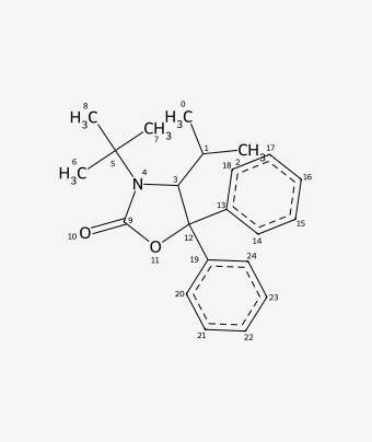 CC(C)C1N(C(C)(C)C)C(=O)OC1(c1ccccc1)c1ccccc1